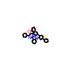 c1ccc(-c2nc(-c3ccccc3-n3c4ccccc4c4cc5sc6ccccc6c5cc43)nc3c2oc2ccccc23)cc1